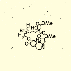 COC(=O)C[C@](O)(CCCC(C)(C)Br)C(=O)OC1C(OC)=C[C@]23CCCN2CCc2cc4c(cc2[C@H]13)OCO4